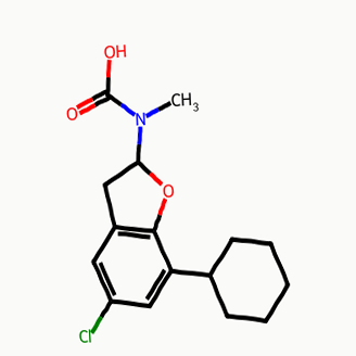 CN(C(=O)O)C1Cc2cc(Cl)cc(C3CCCCC3)c2O1